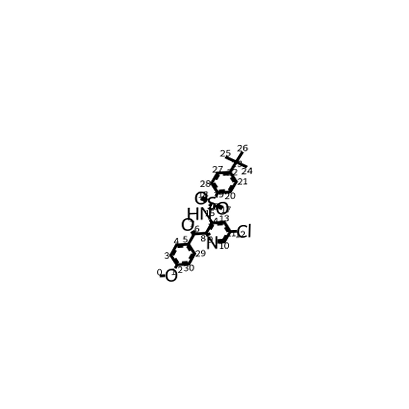 COc1ccc(C(=O)c2ncc(Cl)cc2NS(=O)(=O)c2ccc(C(C)(C)C)cc2)cc1